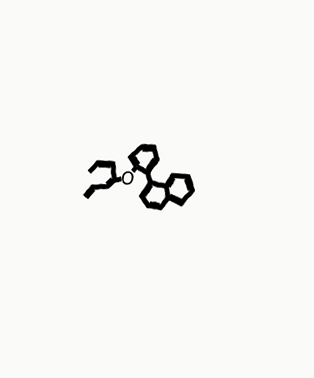 C=C/C=C(\C=C/C)Oc1ccccc1-c1cccc2ccccc12